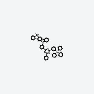 CC1(C)c2ccccc2-c2cc3c(cc21)c1ccccc1n3-c1cccc(-c2nc(-c3ccccc3)nc(-c3cccc(S(c4ccccc4)(c4ccccc4)c4ccccc4)c3)n2)c1